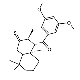 COc1cc(OC)cc(C(=O)[C@H]2[C@H](C)C(=S)CC3C(C)(C)CCC[C@@]32C)c1